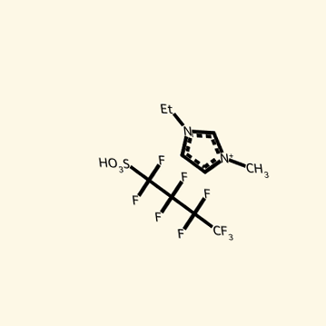 CCn1cc[n+](C)c1.O=S(=O)(O)C(F)(F)C(F)(F)C(F)(F)C(F)(F)F